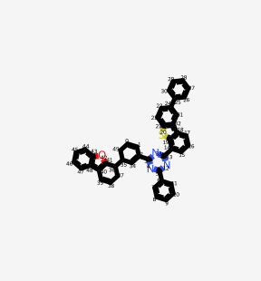 C1=CC(c2nc(-c3ccccc3)nc(-c3cccc4c3sc3ccc(-c5ccccc5)cc34)n2)=CC(C2CC=Cc3c2oc2ccccc32)C1